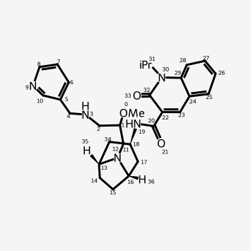 COC(CNCc1cccnc1)CN1[C@@H]2CC[C@H]1C[C@H](NC(=O)c1cc3ccccc3n(C(C)C)c1=O)C2